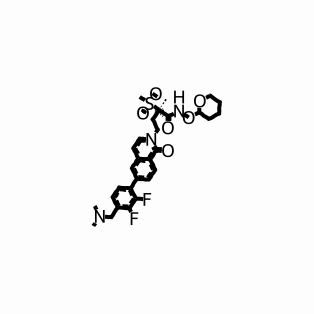 CN(C)Cc1ccc(-c2ccc3c(=O)n(CC[C@](C)(C(=O)NOC4CCCCO4)S(C)(=O)=O)ccc3c2)c(F)c1F